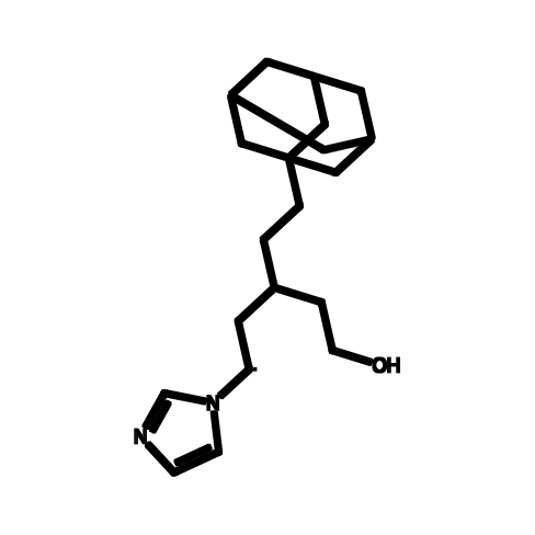 OCCC(C[CH]n1ccnc1)CCC12CC3CC(CC(C3)C1)C2